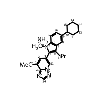 COc1cc(-c2c(C(C)C)c3cc(C4CCCCC4)ccc3n2C)cn2ncnc12.N